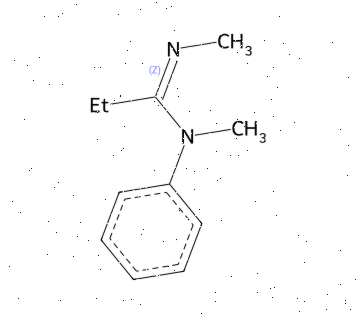 CC/C(=N/C)N(C)c1ccccc1